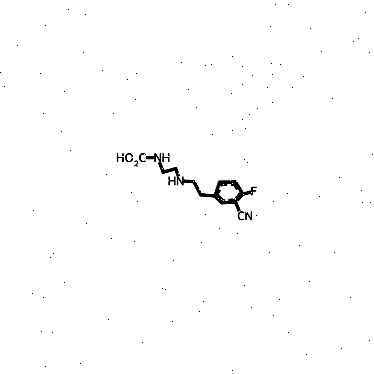 N#Cc1cc(CCNCCNC(=O)O)ccc1F